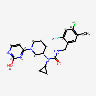 Cc1cc(CNC(=O)N(C2CC2)[C@@H]2CCCN(c3ccnc(O)n3)C2)c(F)cc1Cl